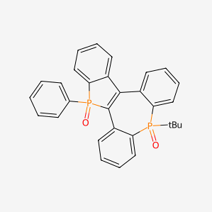 CC(C)(C)P1(=O)c2ccccc2C2=C(c3ccccc31)P(=O)(c1ccccc1)c1ccccc12